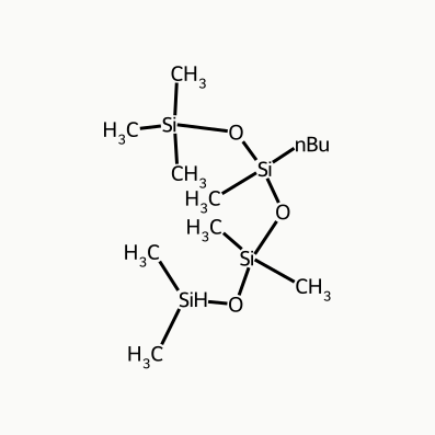 CCCC[Si](C)(O[Si](C)(C)C)O[Si](C)(C)O[SiH](C)C